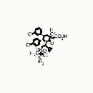 CCC(C)(C)S(=O)(=O)CC(C1CC1)N1C(=O)[C@@](C)(CC(=O)O)C[C@H](c2cccc(Cl)c2)[C@H]1c1ccc(Cl)cc1